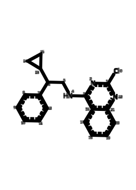 Clc1nc(NCC(c2ccccc2)C2CC2)c2ccccc2n1